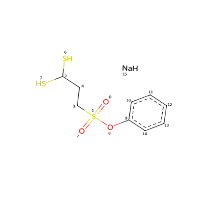 O=S(=O)(CCC(S)S)Oc1ccccc1.[NaH]